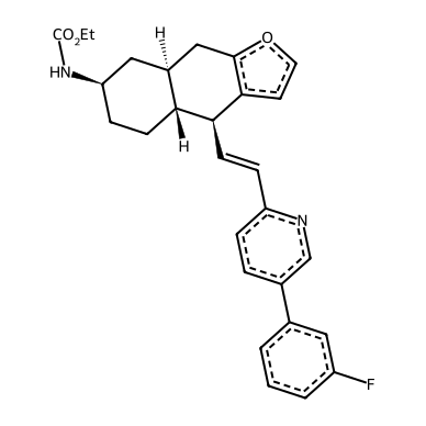 CCOC(=O)N[C@@H]1CC[C@@H]2[C@H](Cc3occc3[C@H]2/C=C/c2ccc(-c3cccc(F)c3)cn2)C1